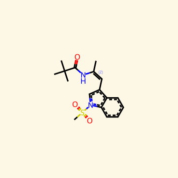 C/C(=C/c1cn(S(C)(=O)=O)c2ccccc12)NC(=O)C(C)(C)C